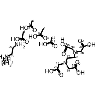 CC(=O)O.CC(=O)O.CC(=O)O.CC(=O)O.N.N.NCCN.O=C(O)CN(CCN(CC(=O)O)CC(=O)O)CC(=O)O